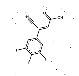 N#CC(=CC(=O)O)c1cc(F)c(F)c(F)c1